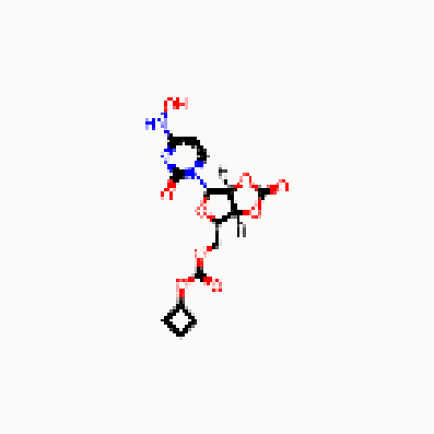 O=C(OC[C@H]1O[C@@H](n2ccc(NO)nc2=O)[C@@H]2OC(=O)O[C@@H]21)OC1CCC1